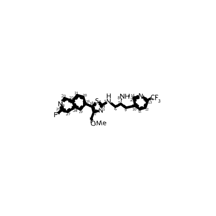 COCc1nc(NC[C@H](N)Cc2ccc(C(F)(F)F)nc2)sc1-c1ccc2cnc(F)cc2c1